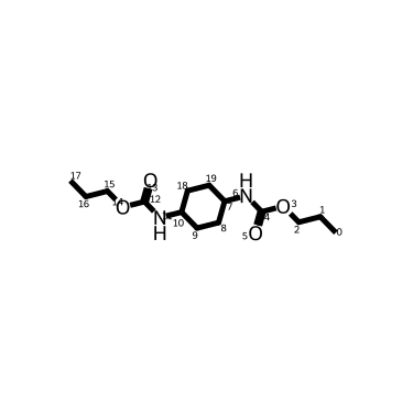 CCCOC(=O)NC1CCC(NC(=O)OCCC)CC1